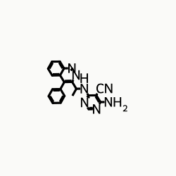 CC(Nc1ncnc(N)c1C#N)c1nnc2ccccc2c1-c1ccccc1